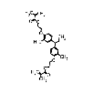 C=C(C)C(=O)OCCOc1ccc(C(CC)c2ccc(OCCOC(=O)C(=C)C)c(C)c2)cc1C